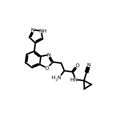 N#CC1(NC(=O)C(N)Cc2nc3c(-c4cn[nH]c4)cccc3o2)CC1